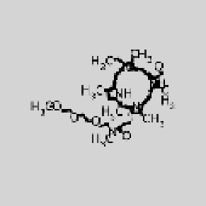 CCC1=C(C)c2cc3[nH]c(cc4nc(c(C)c5cc(C)c(cc1n2)[nH]5)[C@@H](CCC(=O)N(C)CCOCCOCCOC)C4C)c(C)c3C=O